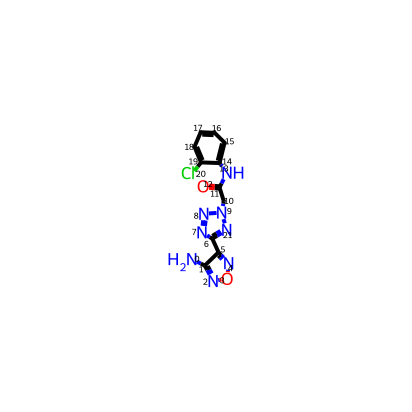 Nc1nonc1-c1nnn(CC(=O)Nc2ccccc2Cl)n1